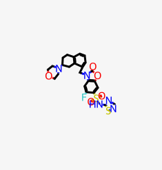 O=c1oc2cc(S(=O)(=O)Nc3ncns3)c(F)cc2n1Cc1cccc2c1CC(N1CCOCC1)CC2